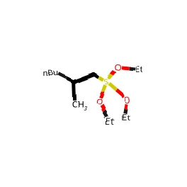 CCCCC(C)CS(OCC)(OCC)OCC